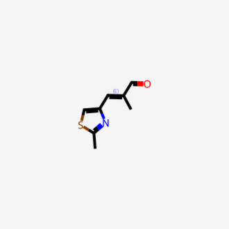 C/C(C=O)=C\c1csc(C)n1